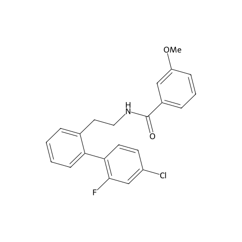 COc1cccc(C(=O)NCCc2ccccc2-c2ccc(Cl)cc2F)c1